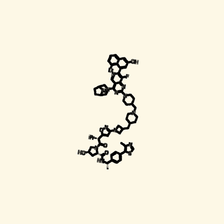 CCc1cccc2cc(O)cc(-c3ncc4c(N5CC6CCC(C5)N6)nc(N5CCC(CN6CCC(CC7CN(c8cc([C@H](C(=O)N9C[C@H](O)C[C@H]9C(=O)N[C@@H](C)c9ccc(-c%10scnc%10C)cc9)C(C)C)on8)C7)CC6)CC5)nc4c3F)c12